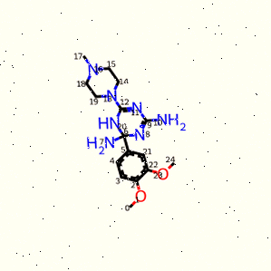 COc1ccc(C2(N)N=C(N)N=C(N3CCN(C)CC3)N2)cc1OC